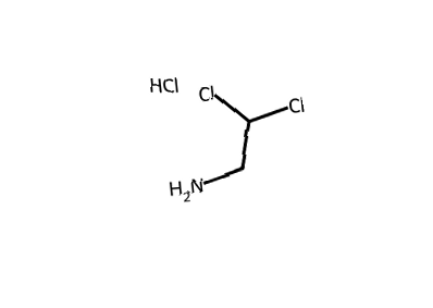 Cl.NCC(Cl)Cl